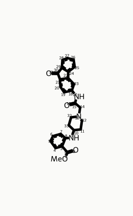 COC(=O)c1ccccc1NC1CCN(CC(=O)Nc2ccc3c(c2)-c2ccccc2C3=O)CC1